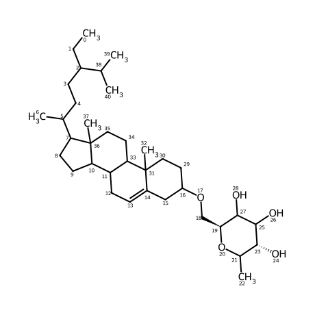 CCC(CCC(C)C1CCC2C3CC=C4CC(OC[C@@H]5OC(C)[C@@H](O)C(O)C5O)CCC4(C)C3CCC12C)C(C)C